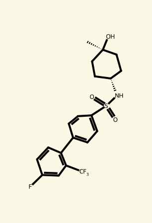 C[C@]1(O)CC[C@H](NS(=O)(=O)c2ccc(-c3ccc(F)cc3C(F)(F)F)cc2)CC1